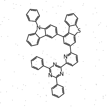 c1ccc(-c2nc(-c3ccccc3)nc(-c3cccc(-c4cc(-c5ccc6c(c5)c5ccccc5n6-c5ccccc5)c5c(c4)sc4ccccc45)n3)n2)cc1